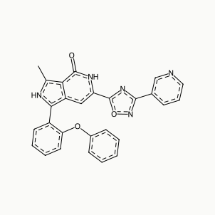 Cc1[nH]c(-c2ccccc2Oc2ccccc2)c2cc(-c3nc(-c4cccnc4)no3)[nH]c(=O)c12